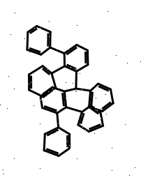 c1ccc([C](c2cccc(-c3ccccc3)c2-c2ccccc2)c2cccc(-c3ccccc3)c2-c2ccccc2)cc1